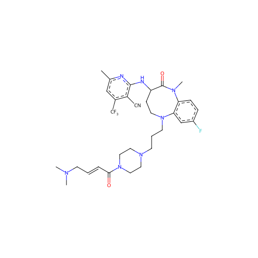 Cc1cc(C(F)(F)F)c(C#N)c(NC2CCN(CCCN3CCN(C(=O)C=CCN(C)C)CC3)c3cc(F)ccc3N(C)C2=O)n1